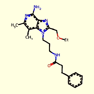 CCOCc1nc2c(N)nc(C)c(C)c2n1CCCNC(=O)CCc1ccccc1